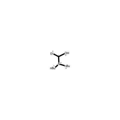 [CH2]CC(O)N(CCCC)CCCC